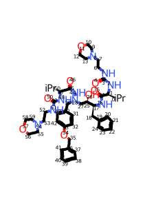 CC(C)[C@H](NC(=O)NCCN1CCOCC1)C(=O)N[C@@H](Cc1ccccc1)[C@@H](O)CN(Cc1ccc(OCc2ccccc2)cc1)NC(=O)[C@@H](NC(=O)NCCN1CCOCC1)C(C)C